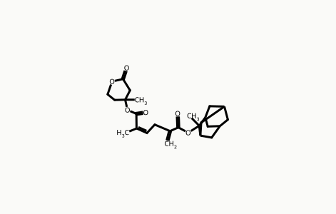 C=C(CC=C(C)C(=O)OC1(C)CCOC(=O)C1)C(=O)OC1(C)C2CC3CC(C2)CC1C3